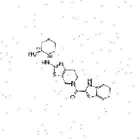 O=C(c1cc2ccccc2[nH]1)N1CCc2nc(N[C@H]3CCCC[C@@H]3O)sc2C1